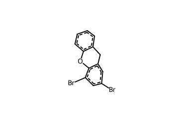 Brc1cc(Br)c2c(c1)Cc1ccccc1O2